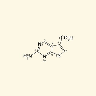 Nc1ncc2c(C(=O)O)csc2n1